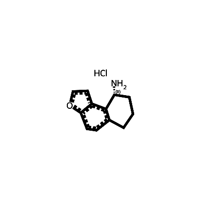 Cl.N[C@@H]1CCCc2ccc3occc3c21